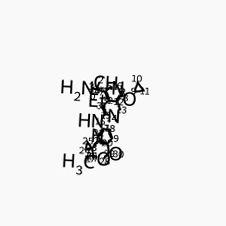 CC[C@](C)(N)c1cnc(OC2CC2)c2cnc(Nc3ccc4c(n3)C3(CC3)[C@@H](C)OC4=O)cc12